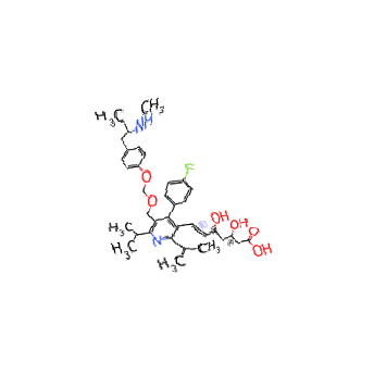 CNC(C)Cc1ccc(OCOCc2c(C(C)C)nc(C(C)C)c(/C=C/[C@@H](O)C[C@@H](O)CC(=O)O)c2-c2ccc(F)cc2)cc1